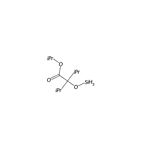 CC(C)OC(=O)C(O[SiH3])(C(C)C)C(C)C